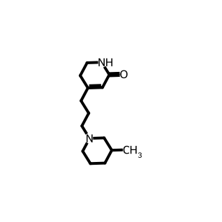 CC1CCCN(CCCC2=CC(=O)NCC2)C1